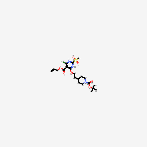 C=CCOC(=O)c1c(Cl)nc(S(C)(=O)=O)nc1OCCC1CCN(C(=O)OC(C)(C)C)CC1